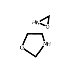 C1COCN1.C1NO1